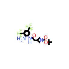 CC(C)(C)OC(=O)N1CC(CC(=O)Nc2cc(C(F)(F)F)cc(C(F)(F)F)c2N)C1